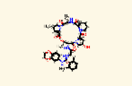 Cc1cccc(C[C@H](NC(=O)Nc2ccc3c(c2)OCCO3)C(=O)N[C@@H]2C(=O)N3C[C@H](O)C[C@H]3C(=O)N3CCCC[C@H]3C(=O)N[C@@H](C)C(=O)N3C[C@H](C)C[C@H]3C(=O)O[C@H]2C)c1